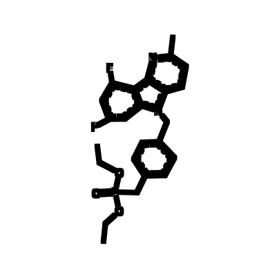 CCOP(=O)(Cc1ccc(Cn2c3ccc(C)nc3c3c(F)cc(F)cc32)cc1)OCC